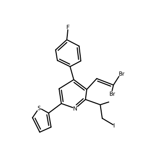 CC(CI)c1nc(-c2cccs2)cc(-c2ccc(F)cc2)c1C=C(Br)Br